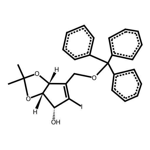 CC1(C)O[C@@H]2[C@H](O1)C(COC(c1ccccc1)(c1ccccc1)c1ccccc1)=C(I)[C@@H]2O